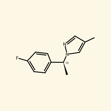 Cc1cnn([C@@H](C)c2ccc(F)cc2)c1